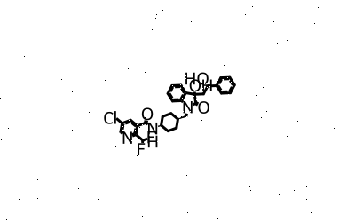 O=C(N[C@H]1CC[C@H](CN2C(=O)C(O)(CC(O)c3ccccc3)c3ccccc32)CC1)c1cc(Cl)cnc1C(F)F